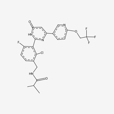 CC(C)C(=O)NCc1ccc(F)c(-c2nc(-c3ccc(OCC(F)(F)F)nc3)cc(=O)[nH]2)c1Cl